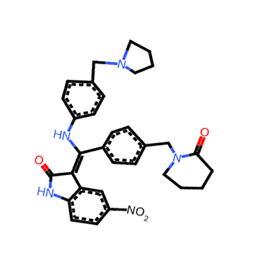 O=C1Nc2ccc([N+](=O)[O-])cc2C1=C(Nc1ccc(CN2CCCC2)cc1)c1ccc(CN2CCCCC2=O)cc1